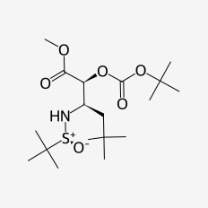 COC(=O)[C@@H](OC(=O)OC(C)(C)C)[C@@H](CC(C)(C)C)N[S@@+]([O-])C(C)(C)C